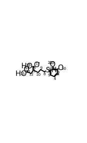 COc1cccc([SiH2]CCCC(CC(=O)O)C(=O)O)c1OC